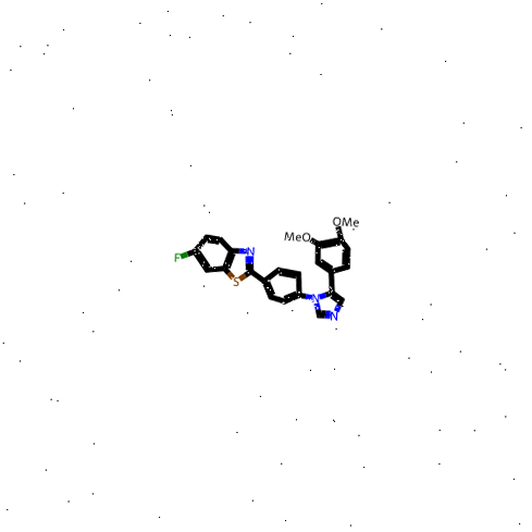 COc1ccc(-c2cncn2-c2ccc(-c3nc4ccc(F)cc4s3)cc2)cc1OC